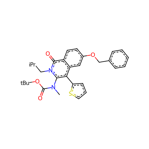 CC(C)Cn1c(N(C)C(=O)OC(C)(C)C)c(-c2cccs2)c2cc(OCc3ccccc3)ccc2c1=O